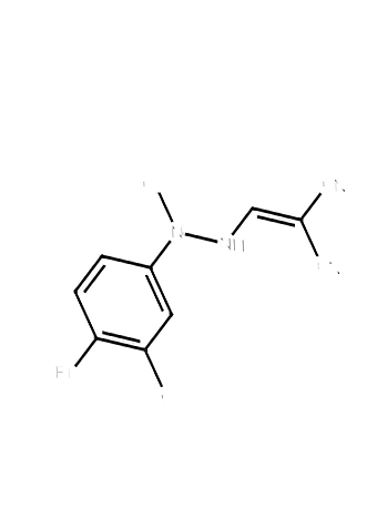 CCc1ccc(N(Cl)NC=C(C#N)C#N)cc1Cl